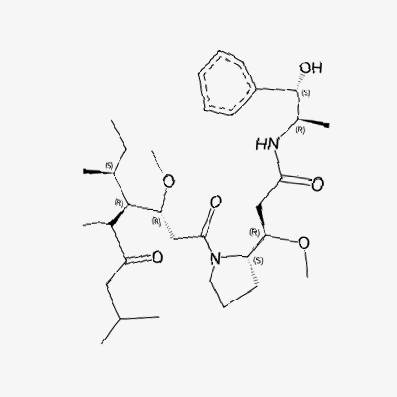 CC[C@H](C)[C@H](C(C)C(=O)CC(C)C)[C@@H](CC(=O)N1CCC[C@H]1[C@@H](CC(=O)N[C@H](C)[C@@H](O)c1ccccc1)OC)OC